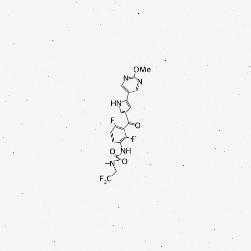 COc1ncc(-c2cc(C(=O)c3c(F)ccc(NS(=O)(=O)N(C)CC(F)(F)F)c3F)c[nH]2)cn1